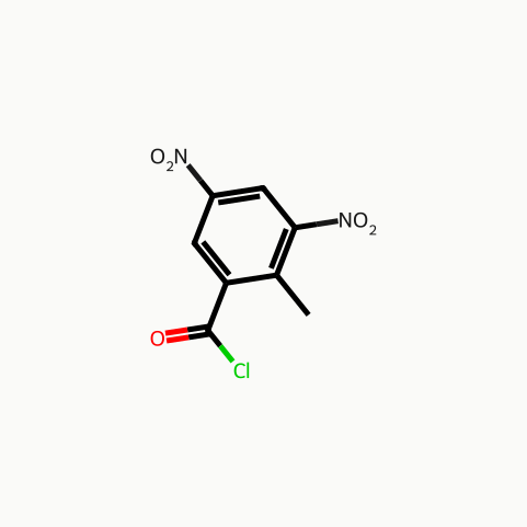 Cc1c(C(=O)Cl)cc([N+](=O)[O-])cc1[N+](=O)[O-]